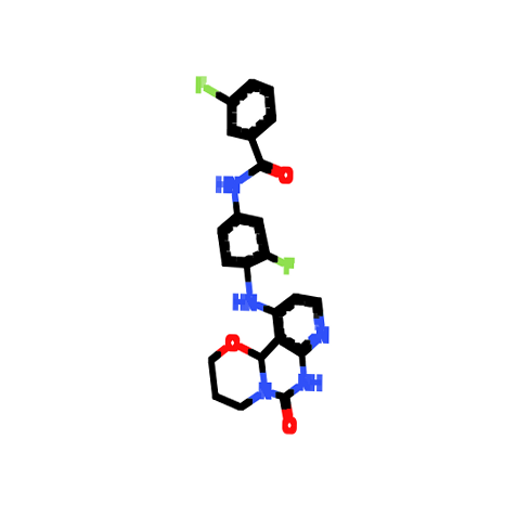 O=C(Nc1ccc(Nc2ccnc3c2C2OCCCN2C(=O)N3)c(F)c1)c1cccc(F)c1